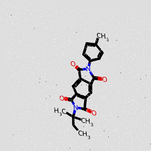 CCC(C)(C)n1c(=O)c2cc3c(=O)n(-c4ccc(C)cc4)c(=O)c3cc2c1=O